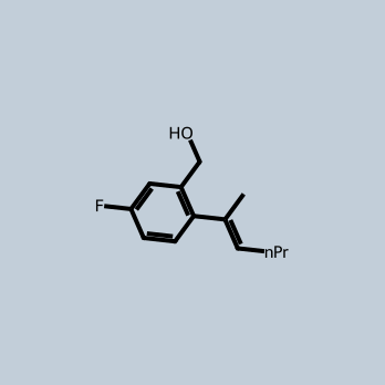 CCC/C=C(\C)c1ccc(F)cc1CO